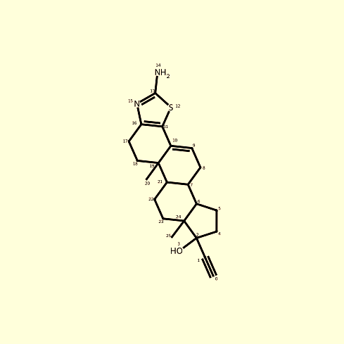 C#CC1(O)CCC2C3CC=C4c5sc(N)nc5CCC4(C)C3CCC21C